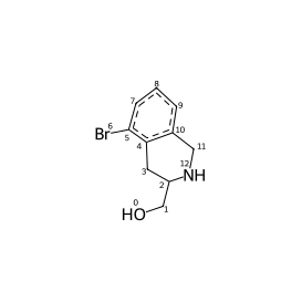 OCC1Cc2c(Br)cccc2CN1